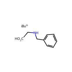 CC[C@H](C)C(NCc1ccccc1)C(=O)O